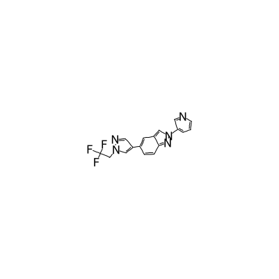 FC(F)(F)Cn1cc(-c2ccc3nn(-c4cccnc4)cc3c2)cn1